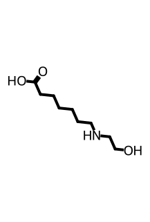 O=C(O)CCCCCCNCCO